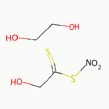 O=[N+]([O-])SC(=S)CO.OCCO